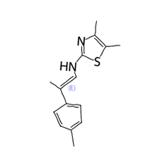 C/C(=C\Nc1nc(C)c(C)s1)c1ccc(C)cc1